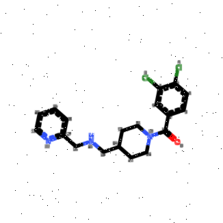 O=C(c1ccc(Cl)c(Cl)c1)N1CCC(CNCc2ccccn2)CC1